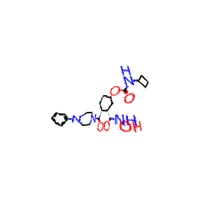 O=C(NC1CCC1)O[C@@H]1CC[C@H](C(=O)N2CCN(c3ccccc3)CC2)[C@@H](C(=O)NO)C1